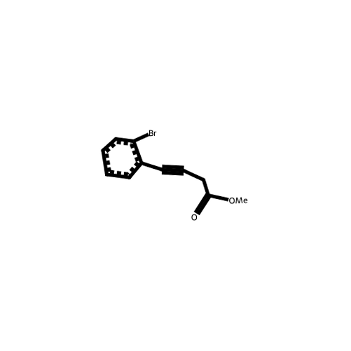 COC(=O)CC#Cc1ccccc1Br